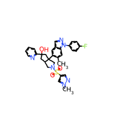 Cc1cc2c(cnn2-c2ccc(F)cc2)cc1C12CN(S(=O)(=O)c3cnn(C)c3)CC1CC(O)(c1ccccn1)C2